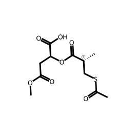 COC(=O)CC(OC(=O)[C@H](C)CSC(C)=O)C(=O)O